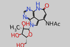 CC(=O)NC1=CC(=O)Nc2ncnc3c2c1cn3[C@@H]1O[C@H](CO)[C@@H](O)[C@@]1(C)O